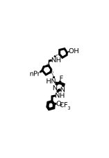 CCCC1C[C@@H](CNC[C@H]2CC[C@H](O)CC2)C[C@H](CNc2nc(NCc3ccccc3OC(F)(F)F)ncc2F)C1